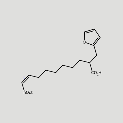 CCCCCCCC/C=C\CCCCCCC(Cc1ccco1)C(=O)O